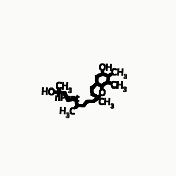 CCCCCC(C)(O)CCCC(C)CCCC1(C)CCC2CC(O)C(C)C(C)C2O1